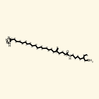 BCC(CC)CCCCNC(=O)CCCC(=C)CCCCCCCCCCCCCCCCc1nnn[nH]1